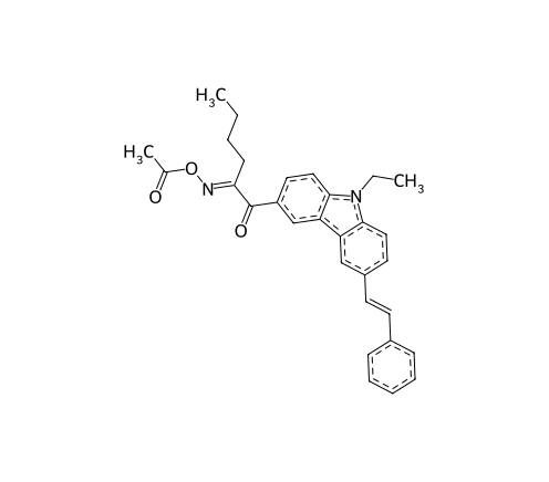 CCCC/C(=N\OC(C)=O)C(=O)c1ccc2c(c1)c1cc(/C=C/c3ccccc3)ccc1n2CC